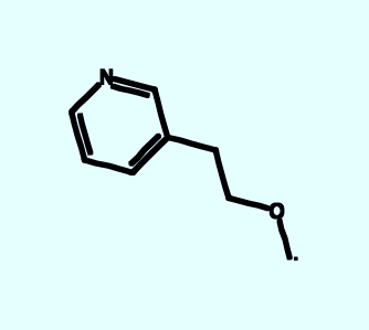 [CH2]OCCc1cccnc1